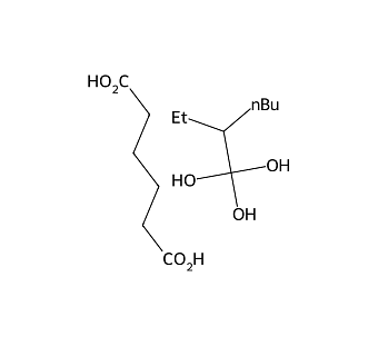 CCCCC(CC)C(O)(O)O.O=C(O)CCCCC(=O)O